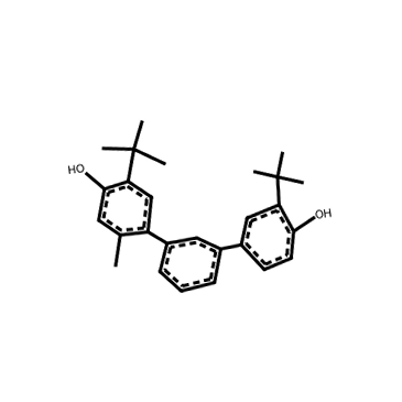 Cc1cc(O)c(C(C)(C)C)cc1-c1cccc(-c2ccc(O)c(C(C)(C)C)c2)c1